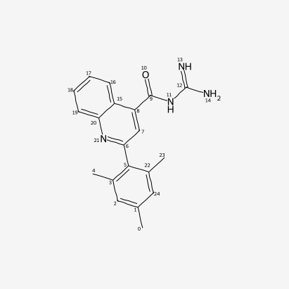 Cc1cc(C)c(-c2cc(C(=O)NC(=N)N)c3ccccc3n2)c(C)c1